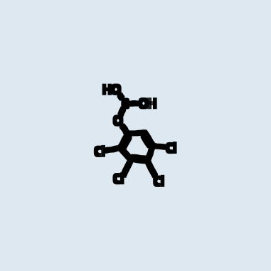 OB(O)Oc1cc(Cl)c(Cl)c(Cl)c1Cl